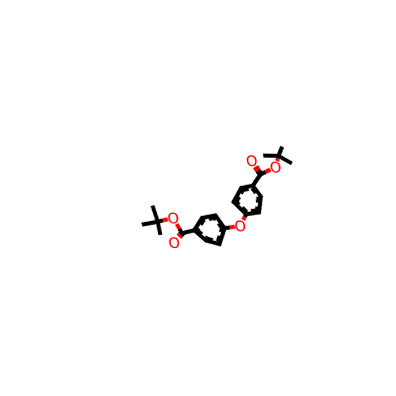 CC(C)(C)OC(=O)c1ccc(Oc2ccc(C(=O)OC(C)(C)C)cc2)cc1